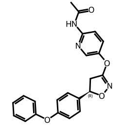 CC(=O)Nc1ccc(OC2=NO[C@@H](c3ccc(Oc4ccccc4)cc3)C2)cn1